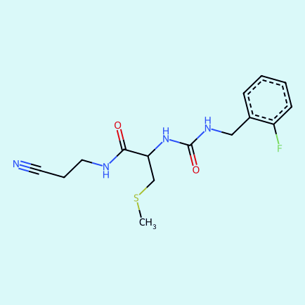 CSCC(NC(=O)NCc1ccccc1F)C(=O)NCCC#N